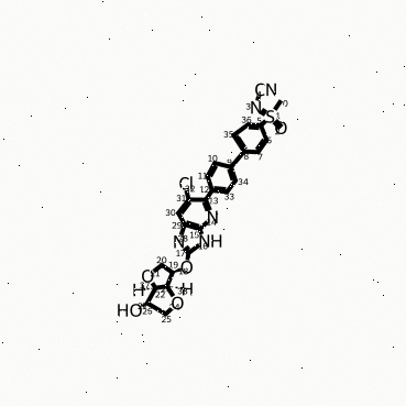 CS(=O)(=NC#N)c1ccc(-c2ccc(-c3nc4[nH]c(O[C@@H]5CO[C@H]6[C@@H]5OC[C@H]6O)nc4cc3Cl)cc2)cc1